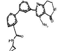 Nc1cc(-c2cccc(-c3cccc(C(=O)NC4CC4)c3)c2)nc2c1C(=O)NCC2